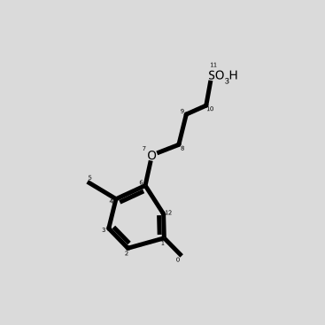 Cc1ccc(C)c(OCCCS(=O)(=O)O)c1